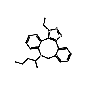 CCCC(C)N1Cc2ccccc2-c2nnn(CC)c2-c2ccccc21